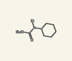 CCN(C(=O)OCC(C)C)C1CCCCC1